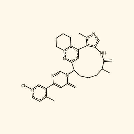 C=C1Nc2cnn(C)c2-c2cc(nc3c2CCCC3)C(N2C=NC(c3cc(Cl)ccc3C)=CC2=C)CCCC1C